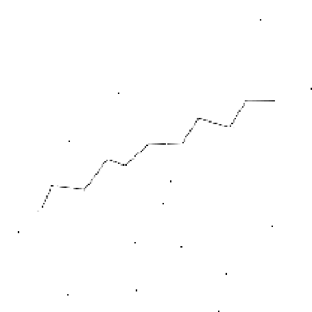 [CH2]CCCCCCC[CH]CC